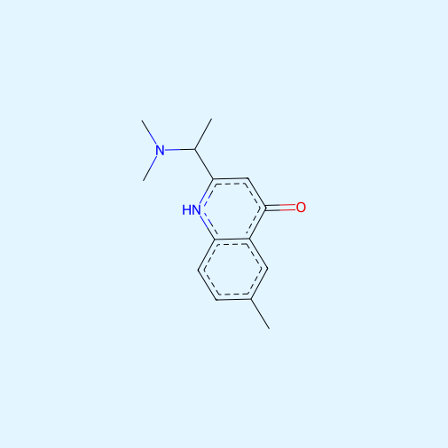 Cc1ccc2[nH]c(C(C)N(C)C)cc(=O)c2c1